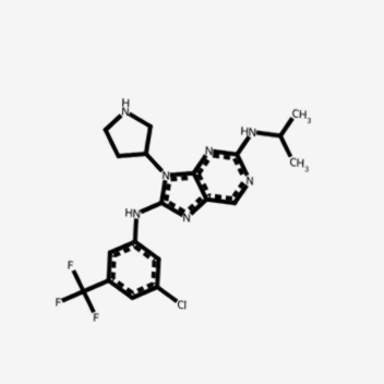 CC(C)Nc1ncc2nc(Nc3cc(Cl)cc(C(F)(F)F)c3)n(C3CCNC3)c2n1